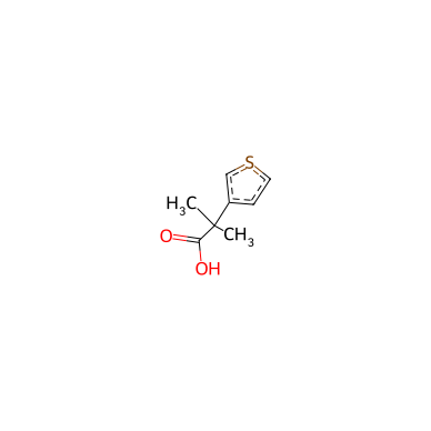 CC(C)(C(=O)O)c1ccsc1